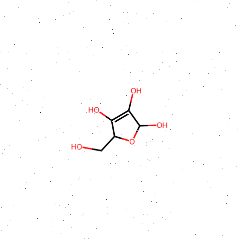 OCC1OC(O)C(O)=C1O